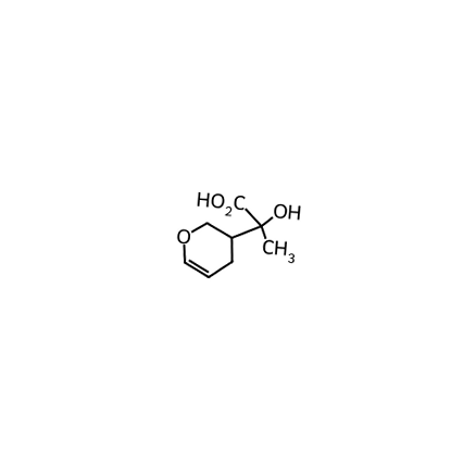 CC(O)(C(=O)O)C1CC=COC1